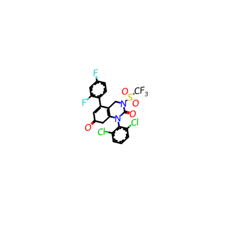 O=C1C=C(c2ccc(F)cc2F)C2=C(C1)N(c1c(Cl)cccc1Cl)C(=O)N(S(=O)(=O)C(F)(F)F)C2